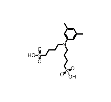 Cc1cc(C)cc(N(CCCCS(=O)(=O)O)CCCCS(=O)(=O)O)c1